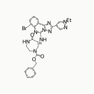 CCn1cc(-c2nc3c4cccc(Br)c4nc(N[C@@H]4CN(C(=O)OCc5ccccc5)CCNC4=O)n3n2)cn1